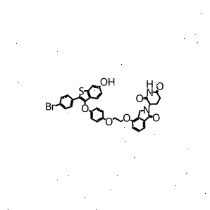 O=C1CCC(N2Cc3c(OCCOc4ccc(Oc5c(-c6ccc(Br)cc6)sc6cc(O)ccc56)cc4)cccc3C2=O)C(=O)N1